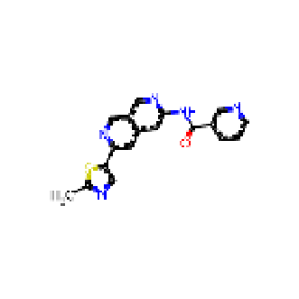 Cc1ncc(-c2cc3cc(NC(=O)c4cccnc4)ncc3cn2)s1